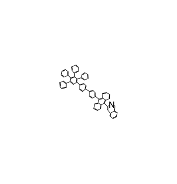 c1ccc(-c2cc(-c3ccc(-c4ccc(-c5c6ccccc6c(-c6cc7ccccc7cn6)c6ccccc56)cc4)cc3)c(-c3ccccc3)c(-c3ccccc3)c2-c2ccccc2)cc1